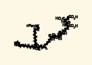 CCCCC/C=C\C/C=C\CCCCCCCCC1(CCCCCCCC/C=C\C/C=C\CCCCC)OCC(CCN(C)CCCCCNC(=O)C(C)(CC)COC(CC)(CC)CC(=O)NCCCC[C@@H](NC(=O)N[C@H](CCC(=O)O)C(=O)O)C(=O)O)O1